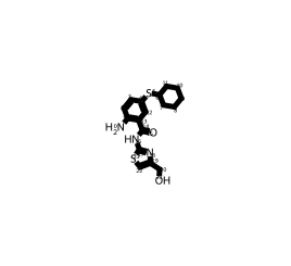 Nc1ccc(SC2CCCCC2)cc1C(=O)Nc1nc(CO)cs1